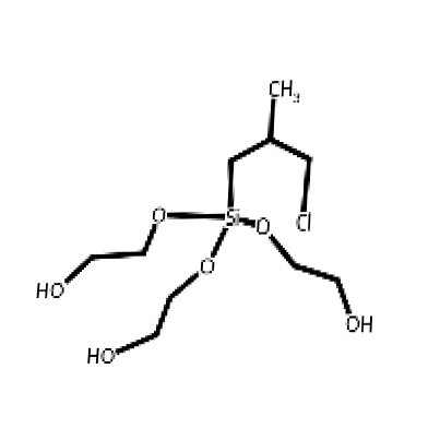 CC(CCl)C[Si](OCCO)(OCCO)OCCO